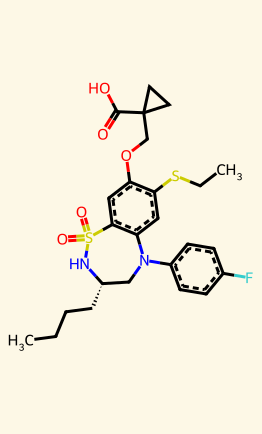 CCCC[C@H]1CN(c2ccc(F)cc2)c2cc(SCC)c(OCC3(C(=O)O)CC3)cc2S(=O)(=O)N1